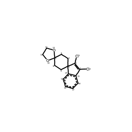 ClC1=C(Cl)C2(CCC3(CC2)OCCO3)c2ccccc21